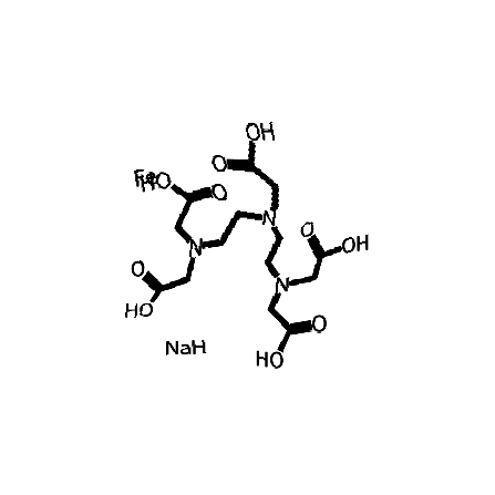 O=C(O)CN(CCN(CC(=O)O)CC(=O)O)CCN(CC(=O)O)CC(=O)O.[Fe].[NaH]